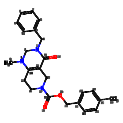 CN1CN(Cc2ccccc2)C(=O)C2=C1CCN(C(=O)OCc1ccc(C(Cl)(Cl)Cl)cc1)C2